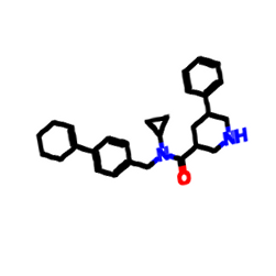 O=C(C1CNCC(c2ccccc2)C1)N(Cc1ccc(C2=CCCCC2)cc1)C1CC1